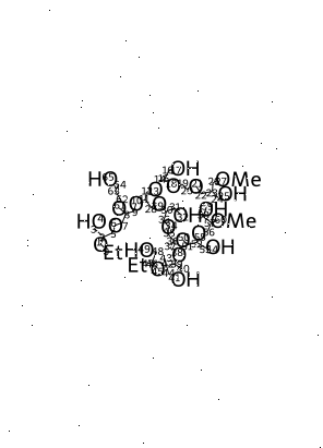 CCOC(CO)COCC(COC(COCC(CO)OCCOCC(CO)COC)COC(CO)COCC(COC(CO)C(C)(C)OC(CC)CO)OCC(CO)OCC(CO)OC)OCCCO